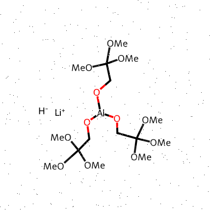 COC(C[O][Al]([O]CC(OC)(OC)OC)[O]CC(OC)(OC)OC)(OC)OC.[H-].[Li+]